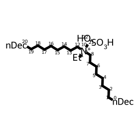 CCCCCCCCCCCCCCCCCC[N+](C)(CC)CCCCCCCCCCCCCCCCCC.O=S(=O)(O)O